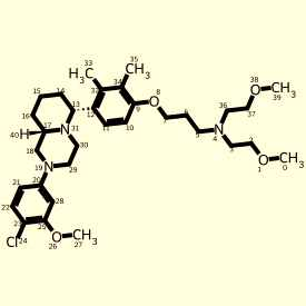 COCCN(CCCOc1ccc([C@H]2CCC[C@H]3CN(c4ccc(Cl)c(OC)c4)CCN32)c(C)c1C)CCOC